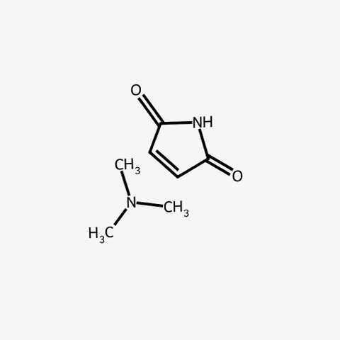 CN(C)C.O=C1C=CC(=O)N1